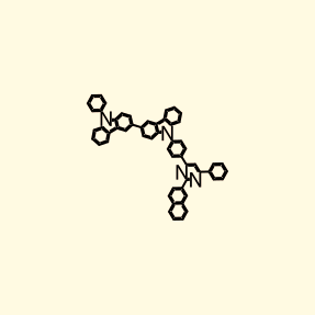 c1ccc(-c2cc(-c3ccc(-n4c5ccccc5c5cc(-c6ccc7c(c6)c6ccccc6n7-c6ccccc6)ccc54)cc3)nc(-c3ccc4ccccc4c3)n2)cc1